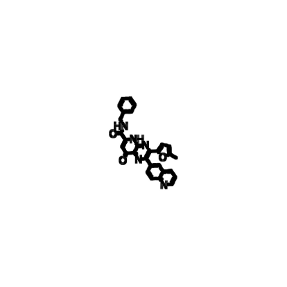 Cc1ccc(-c2nc3[nH]c(C(=O)NCc4ccccc4)cc(=O)c3nc2-c2ccc3ncccc3c2)o1